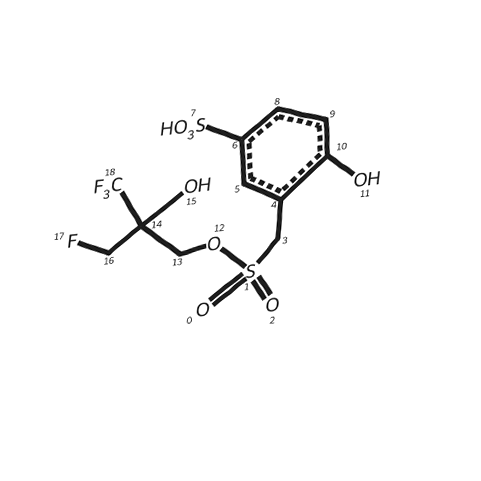 O=S(=O)(Cc1cc(S(=O)(=O)O)ccc1O)OCC(O)(CF)C(F)(F)F